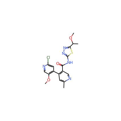 COc1cnc(Cl)cc1-c1cc(C)ncc1C(=O)Nc1nnc(C(C)OC)s1